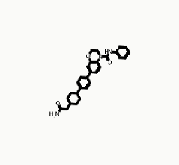 NC(=O)CC1CCC(c2ccc(-c3ccc4c(c3)OCCN4C(=O)Nc3ccccc3)cc2)CC1